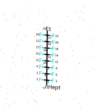 CCCCCCCC(F)(F)C(F)(F)C(F)(F)C(F)(F)C(F)(F)C(F)(F)C(F)(F)C(F)(F)CC